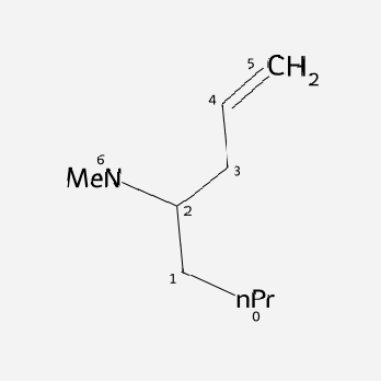 [CH2]CCCC(CC=C)NC